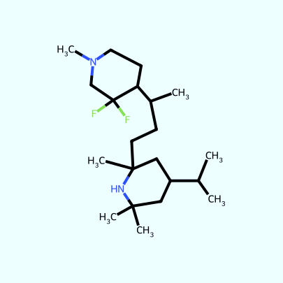 CC(C)C1CC(C)(C)NC(C)(CCC(C)C2CCN(C)CC2(F)F)C1